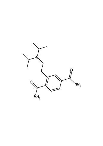 CC(C)N(CCc1cc(C(N)=O)ccc1C(N)=O)C(C)C